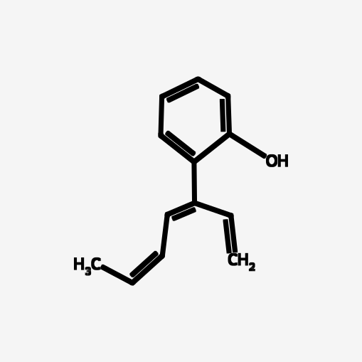 C=C/C(=C\C=C/C)c1ccccc1O